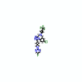 Fc1cnc(N2CC3(CC(c4nnc5n4-c4ccc(Cl)cc4CN(C46CC(C(F)(F)F)(C4)C6)C5)C3)C2)nc1